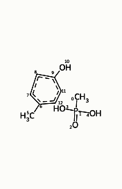 CP(=O)(O)O.Cc1ccc(O)cc1